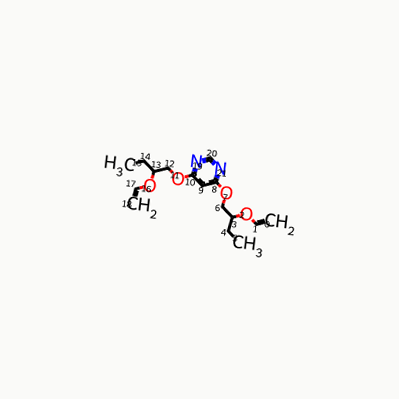 C=COC(CC)COc1cc(OCC(CC)OC=C)ncn1